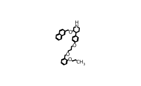 CCCOc1ccccc1COCCCOc1ccc(C2CCNCC2OCc2ccc3ccccc3c2)cc1